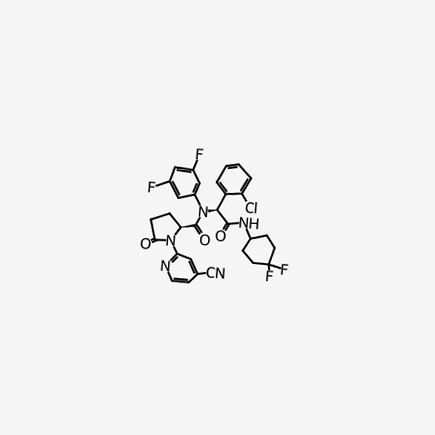 N#Cc1ccnc(N2C(=O)CC[C@H]2C(=O)N(c2cc(F)cc(F)c2)[C@H](C(=O)NC2CCC(F)(F)CC2)c2ccccc2Cl)c1